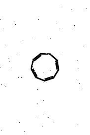 C1=CC=CCC=CC=C1